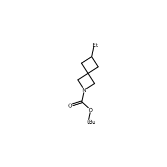 CCC1CC2(C1)CN(C(=O)OC(C)(C)C)C2